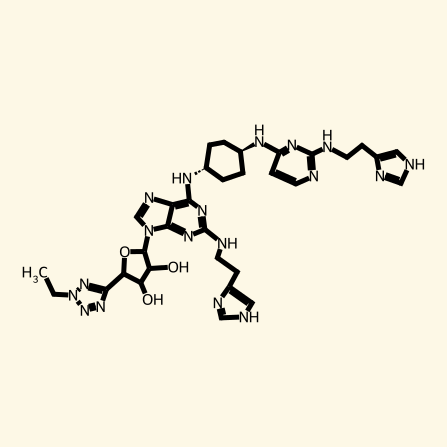 CCn1nnc(C2OC(n3cnc4c(N[C@H]5CC[C@H](Nc6ccnc(NCCc7c[nH]cn7)n6)CC5)nc(NCCc5c[nH]cn5)nc43)C(O)C2O)n1